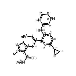 CCCC/C=C(\Nc1cnn(C)c1C(=O)NC)c1nc(C2CC2)cnc1NC1=CPCC=N1